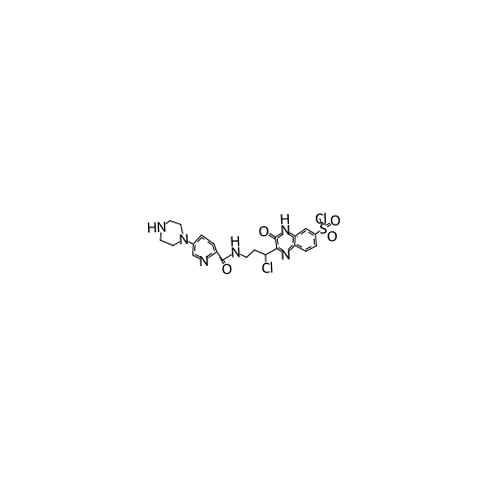 O=C(NCCC(Cl)c1nc2ccc(S(=O)(=O)Cl)cc2[nH]c1=O)c1ccc(N2CCNCC2)cn1